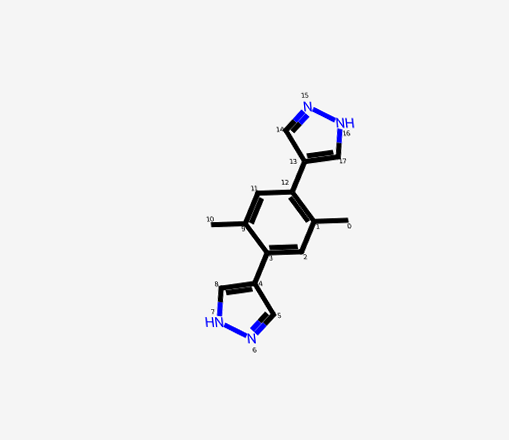 Cc1cc(-c2cn[nH]c2)c(C)cc1-c1cn[nH]c1